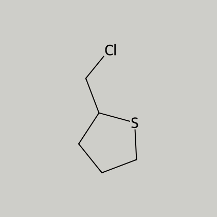 ClCC1CCCS1